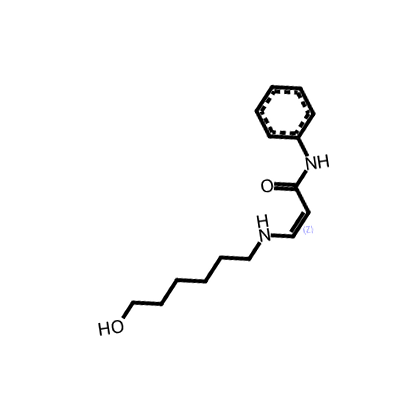 O=C(/C=C\NCCCCCCO)Nc1ccccc1